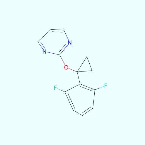 Fc1cccc(F)c1C1(Oc2ncccn2)CC1